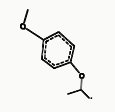 [CH2]C(C)Oc1ccc(OC)cc1